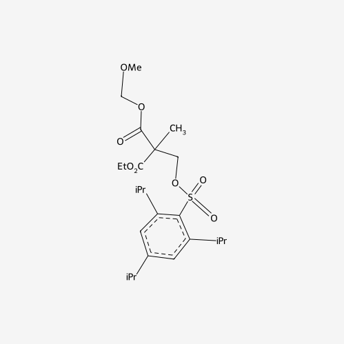 CCOC(=O)C(C)(COS(=O)(=O)c1c(C(C)C)cc(C(C)C)cc1C(C)C)C(=O)OCOC